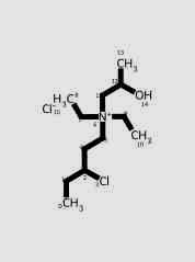 CCC(Cl)CC[N+](CC)(CC)CC(C)O.[Cl-]